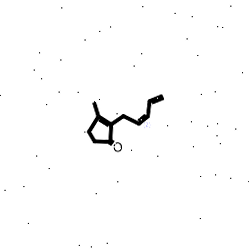 C=C/C=C\CC1=C(C)[CH]CC1=O